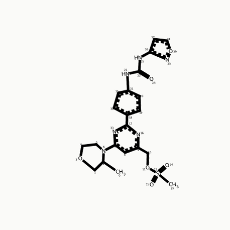 CC1COCCN1c1cc(COS(C)(=O)=O)nc(-c2ccc(NC(=O)Nc3ccon3)cc2)n1